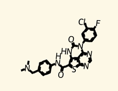 CN(C)Cc1ccc(NC(=O)c2sc3ncnc4c3c2NC(=O)N4c2ccc(F)c(Cl)c2)cc1